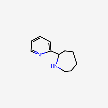 c1ccc(C2CCCCCN2)nc1